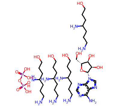 NCCCC(N)CCCO.NCCCC(N)CCCO.NCCCC(N)CCCO.NCCCC(N)CCCO.Nc1ncnc2c1ncn2[C@@H]1O[C@H](CO)[C@@H](O)[C@H]1O.O=P(O)(O)OP(=O)(O)O